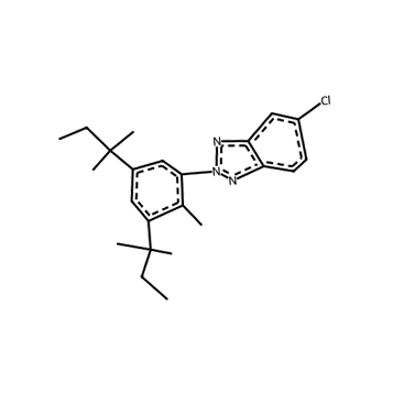 CCC(C)(C)c1cc(-n2nc3ccc(Cl)cc3n2)c(C)c(C(C)(C)CC)c1